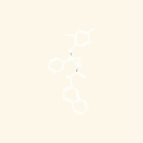 Cc1ncc(O[C@@]2(C3C=CC=CC3)C[C@H]2C(=O)Nc2ccc3ccncc3c2)c(C)n1